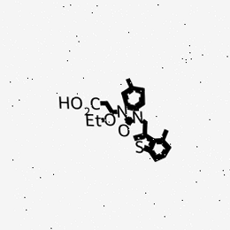 CCOC(CC(=O)O)n1c(=O)n(Cc2csc3cccc(C)c23)c2ccc(C)cc21